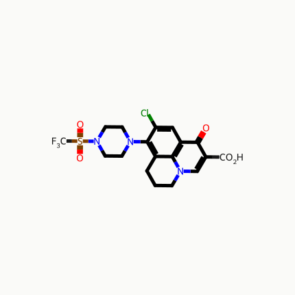 O=C(O)c1cn2c3c(c(N4CCN(S(=O)(=O)C(F)(F)F)CC4)c(Cl)cc3c1=O)CCC2